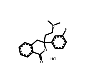 CN(C)CCC1(c2cccc(F)c2)Cc2ccccc2C(=O)O1.Cl